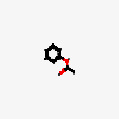 CC(=O)Oc1[c]cc[c]c1